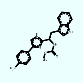 CC(C)(C)OC(=O)NC(Cc1c[nH]c2ccccc12)c1nc(-c2ccc(N)cc2)c[nH]1